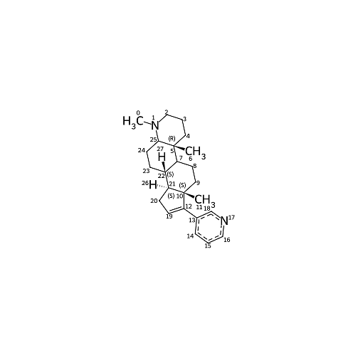 CN1CCC[C@]2(C)C3CC[C@]4(C)C(c5cccnc5)=CC[C@H]4[C@@H]3CCC12